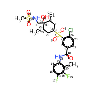 CCC1C[C@@H](S(=O)(=O)c2cc(C(=O)Nc3ccc(F)c(F)c3C)ccc2Cl)C[C@H](C)[C@@]1(O)CNS(C)(=O)=O